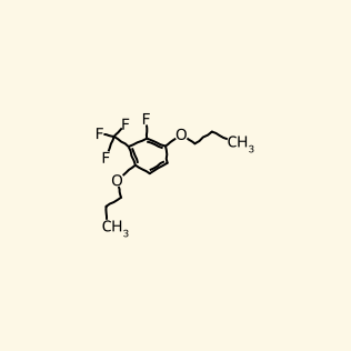 CCCOc1ccc(OCCC)c(C(F)(F)F)c1F